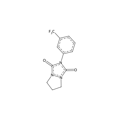 O=c1n(-c2cccc(C(F)(F)F)c2)c(=O)n2n1CCC2